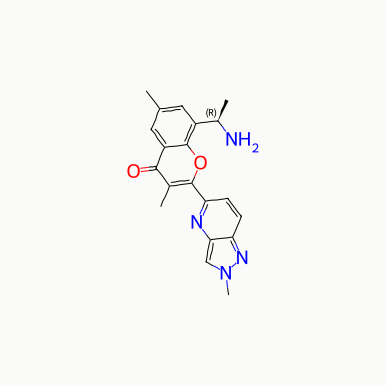 Cc1cc([C@@H](C)N)c2oc(-c3ccc4nn(C)cc4n3)c(C)c(=O)c2c1